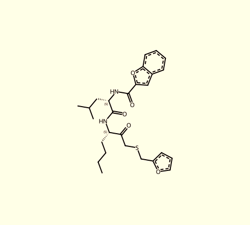 CCCC[C@H](NC(=O)[C@H](CC(C)C)NC(=O)c1cc2ccccc2o1)C(=O)CSCc1ccco1